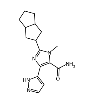 Cn1c(C2CC3CCCC3C2)nc(-c2ccn[nH]2)c1C(N)=O